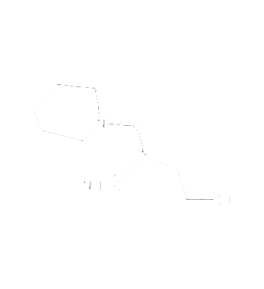 CCCC(=O)ON1CCCCC1.[NaH]